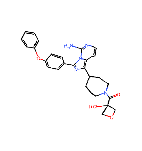 Nc1nccc2c(C3CCN(C(=O)C4(O)COC4)CC3)nc(-c3ccc(Oc4ccccc4)cc3)n12